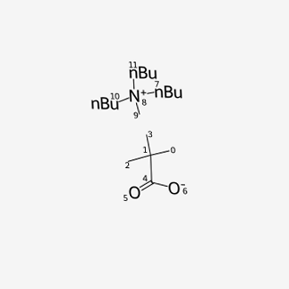 CC(C)(C)C(=O)[O-].CCCC[N+](C)(CCCC)CCCC